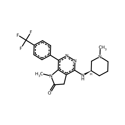 CN1CCC[C@@H](Nc2nnc(-c3ccc(C(F)(F)F)cc3)c3c2CC(=O)N3C)C1